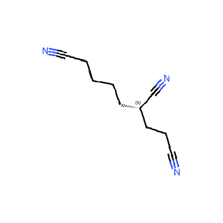 N#CCCCC[C@H](C#N)CCC#N